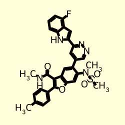 CNC(=O)c1c(-c2ccc(C)cc2)oc2cc(N(C)S(C)(=O)=O)c(-c3cnnc(-c4cc5c(F)cccc5[nH]4)c3)cc12